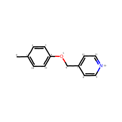 Cc1ccc(OCc2ccncc2)cc1